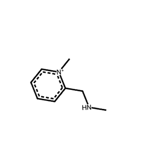 CNCc1cccc[n+]1C